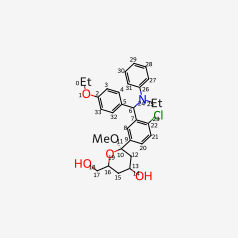 CCOc1ccc(C(c2cc([C@@]3(OC)CC(O)CC(CO)O3)ccc2Cl)N(CC)c2ccccc2)cc1